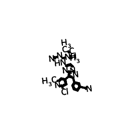 Cc1cc(-c2c(-c3cccc(C#N)c3)nn3ccc(N/C(=N\C#N)NC(C)C)nc23)cc(Cl)n1